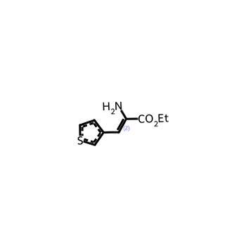 CCOC(=O)/C(N)=C/c1ccsc1